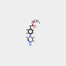 COC(=O)Cc1ccc(N2CCNCC2)cc1